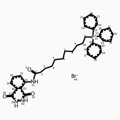 O=C(CCCCCCCCCC[P+](c1ccccc1)(c1ccccc1)c1ccccc1)Nc1cccc2c(=O)[nH][nH]c(=O)c12.[Br-]